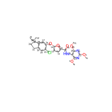 COc1nc(OC)c(NC(=O)c2ccc(Oc3cc4c(cc3Cl)CC[Si]4(C)C)o2)c(OC)n1